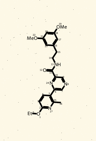 CCOc1ccc(-c2cncc(C(=O)NCCc3cc(OC)cc(OC)c3)n2)c(C)n1